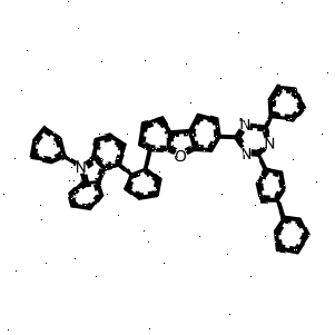 c1ccc(-c2ccc(-c3nc(-c4ccccc4)nc(-c4ccc5c(c4)oc4c(-c6ccccc6-c6cccc7c6c6ccccc6n7-c6ccccc6)cccc45)n3)cc2)cc1